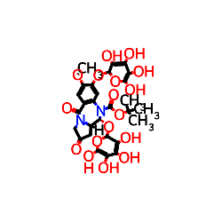 COc1cc2c(cc1OC1OC(O)=C(O)C(O)=C1O)N(C(=O)OC(C)(C)C)[C@@H](OC1OC(O)=C(O)C(O)=C1O)[C@@H]1CC(=O)CN1C2=O